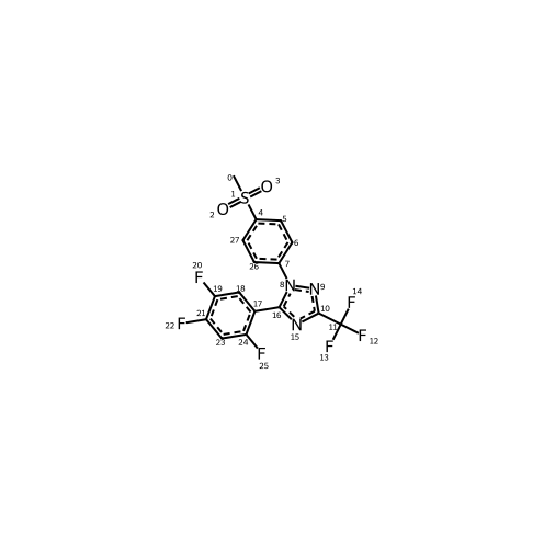 CS(=O)(=O)c1ccc(-n2nc(C(F)(F)F)nc2-c2cc(F)c(F)cc2F)cc1